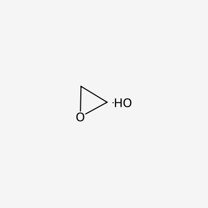 C1CO1.[OH]